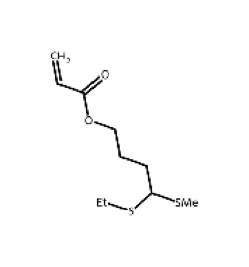 C=CC(=O)OCCCC(SC)SCC